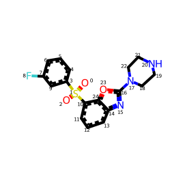 O=S(=O)(c1cccc(F)c1)c1cccc2nc(N3CCNCC3)oc12